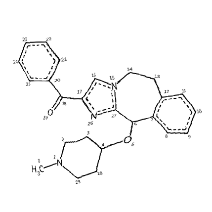 CN1CCC(OC2c3ccccc3CCn3cc(C(=O)c4ccccc4)nc32)CC1